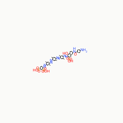 Cc1cc(N=Nc2cc(C)c(N=Nc3c(S(=O)(=O)O)cc4cc(NC(=O)c5ccc(N)cc5)ccc4c3O)cc2C)c(C)cc1N=Nc1cc(C)c(N=Nc2ccc(S(=O)(=O)O)cc2S(=O)(=O)O)cc1C